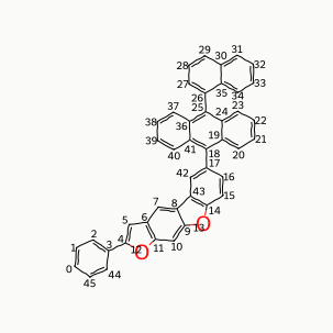 c1ccc(-c2cc3cc4c(cc3o2)oc2ccc(-c3c5ccccc5c(-c5cccc6ccccc56)c5ccccc35)cc24)cc1